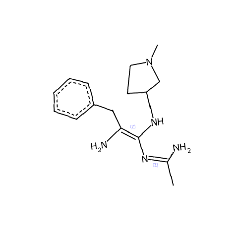 C/C(N)=N/C(NC1CCN(C)C1)=C(\N)Cc1ccccc1